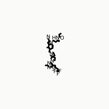 C=C(CCn1c(C#N)cc2c(C)c(CN3CCC4(CCN(c5nc(C)nc6sc(CC(F)(F)F)cc56)C4)C3)ccc21)NC(=O)CC